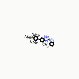 CNc1cc(NC)c(-c2cc(C)c3nc(Nc4ccccc4)nnc3c2)c(NC)c1